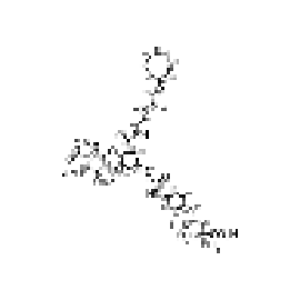 COC(=O)[C@H]1O[C@@H](Oc2ccc(COC(=O)Nc3ccc(C[C@H](N)CC(C)(C)C(=O)O)cc3)cc2C(=O)NCCNC(=O)COC2C#CCCCCC2)[C@H](OC(C)=O)[C@@H](OC(C)=O)[C@@H]1OC(C)=O